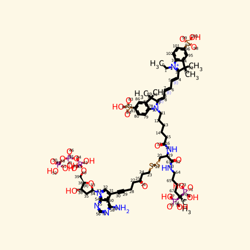 CC[N+]1=C(/C=C/C=C/C=C2/N(CCCCCC(=O)NC(CSSCCC(=O)CCC#Cc3cn([C@H]4C[C@@H](O)[C@@H](COP(=O)(O)OP(=O)(O)OP(=O)(O)O)O4)c4ncnc(N)c34)C(=O)NCCCCC(C)(P(=O)(O)O)P(=O)(O)O)c3ccc(S(=O)(=O)O)cc3C2(C)C)C(C)(C)c2cc(S(=O)(=O)O)ccc21